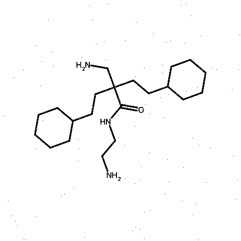 NCCNC(=O)C(CN)(CCC1CCCCC1)CCC1CCCCC1